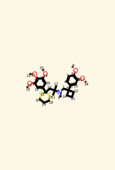 COc1ccc(C2(CN(C)C(C)(C)CC3(c4cc(OC)c(OC)c(OC)c4)SCCCS3)CCC2)cc1OC